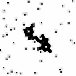 Cc1cc(F)c2c(c1)cc(C)n2CCNc1cc(Cl)ncn1